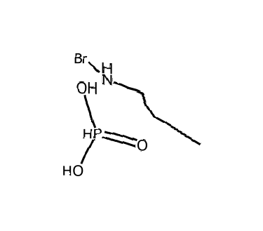 CCCNBr.O=[PH](O)O